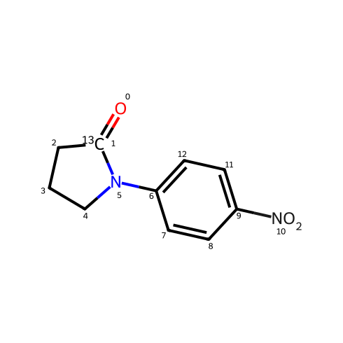 O=[13C]1CCCN1c1ccc([N+](=O)[O-])cc1